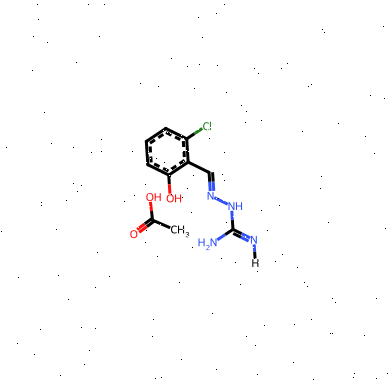 CC(=O)O.[H]/N=C(\N)NN=Cc1c(O)cccc1Cl